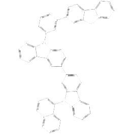 c1cc(-c2ccc3c(c2)sc2ccccc23)cc(-n2c3ccccc3c3cc(-c4ccc5c6ccccc6n(-c6cccc7ccccc67)c5c4)ccc32)c1